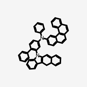 C1=CC2=Cc3c(c4ccccc4n3-c3cc(N(c4ccccc4)c4ccc5ccc6ccc7ccccc7c6c5c4)ccc3-c3ccccc3)CC2C=C1